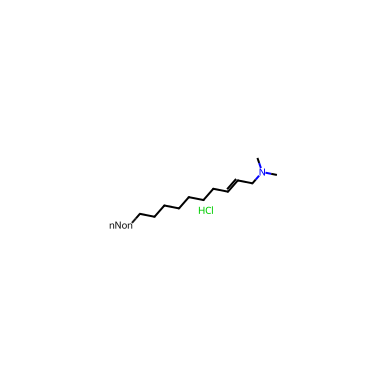 CCCCCCCCCCCCCCCCC=CCN(C)C.Cl